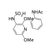 CC(=O)Nc1ccccc1.COc1ccc(NS(=O)(=O)O)c(OC)n1